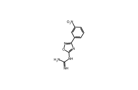 N=C(N)Nc1nc(-c2cccc([N+](=O)[O-])c2)no1